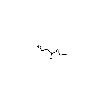 CCOC(=O)CC[O]